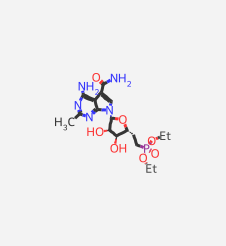 CCOP(=O)(CC[C@H]1O[C@@H](n2cc(C(N)=O)c3c(N)nc(C)nc32)[C@H](O)[C@@H]1O)OCC